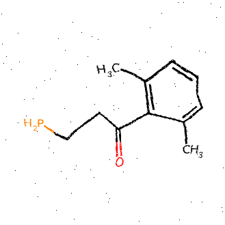 Cc1cccc(C)c1C(=O)CCP